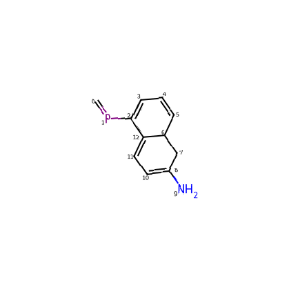 C=PC1=CC=CC2CC(N)=CC=C12